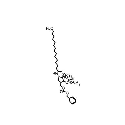 CCCCCCCCCCCCCCCC(=S)N[C@H]1C[C@H](COC(=O)OCc2ccccc2)[C@H](OP(O)(=S)OC)C1OC